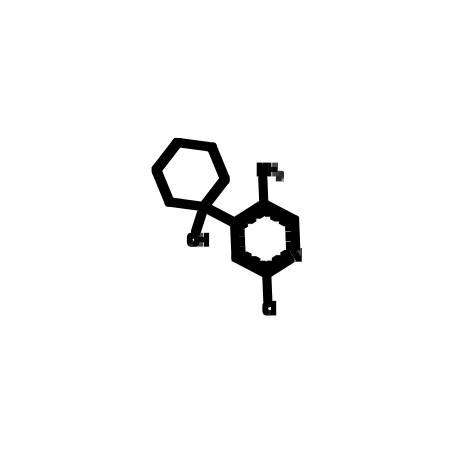 Nc1cnc(Cl)cc1C1(O)CCCCC1